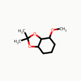 COC1CCCC2OC(C)(C)OC12